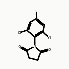 O=C1CCC(=O)N1c1c(Cl)cc(Cl)cc1Cl